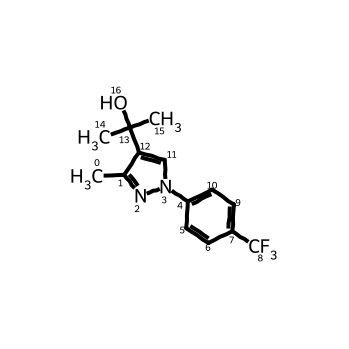 Cc1nn(-c2ccc(C(F)(F)F)cc2)cc1C(C)(C)O